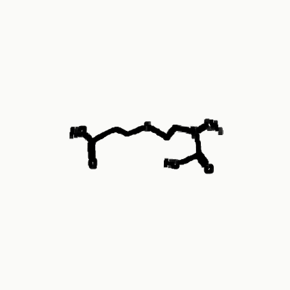 CN(CCSCCC(=O)O)C(=O)O